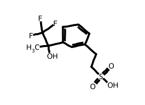 CC(O)(c1cccc(CCS(=O)(=O)O)c1)C(F)(F)F